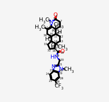 CC1=C2N(C)C(=O)CC[C@]2(C)[C@H]2CC[C@]3(C)[C@@H](C(=O)NCc4nc5ccc(C(F)(F)F)cc5n4C)CC[C@H]3[C@@H]2C1